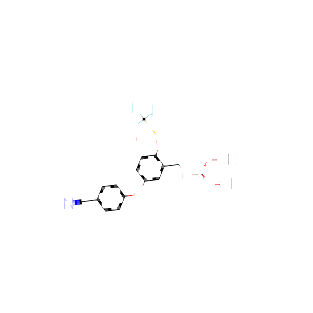 COB(OC)OCc1cc(Oc2ccc(C#N)cc2)ccc1OS(=O)(=O)C(F)(F)F